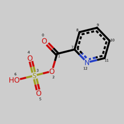 O=C(OS(=O)(=O)O)c1ccccn1